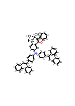 CC(C)(C)c1c(-c2cccc(N(c3ccc(-c4cc5ccccc5c5ccccc45)cc3)c3ccc(-c4cc5ccccc5c5ccccc45)cc3)c2)oc2ccccc12